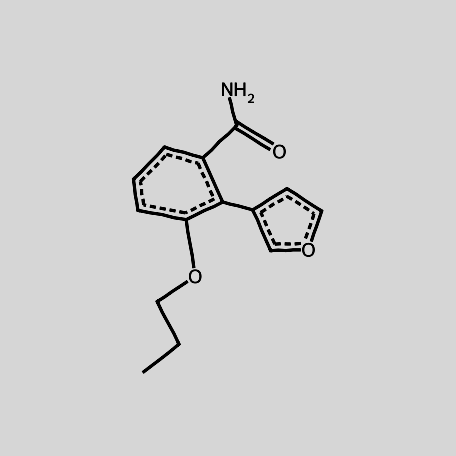 CCCOc1cccc(C(N)=O)c1-c1ccoc1